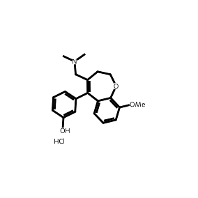 COc1cccc2c1OCCC(CN(C)C)=C2c1cccc(O)c1.Cl